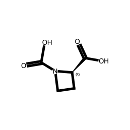 O=C(O)[C@H]1CCN1C(=O)O